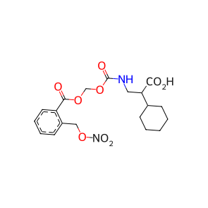 O=C(NCC(C(=O)O)C1CCCCC1)OCOC(=O)c1ccccc1CO[N+](=O)[O-]